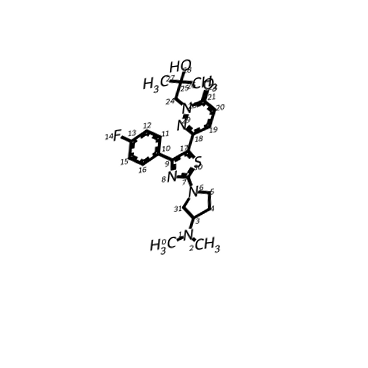 CN(C)C1CCN(c2nc(-c3ccc(F)cc3)c(-c3ccc(=O)n(CC(C)(C)O)n3)s2)C1